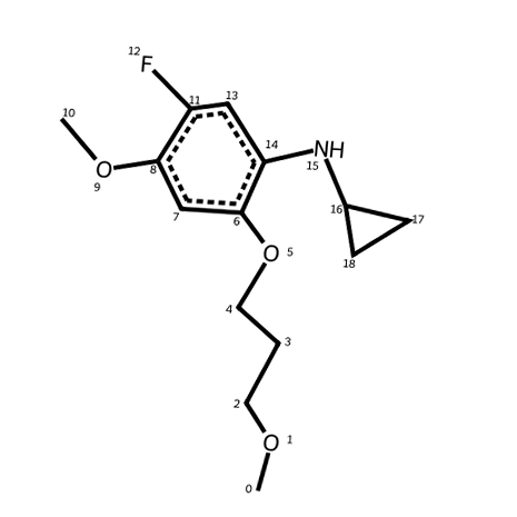 COCCCOc1cc(OC)c(F)cc1NC1CC1